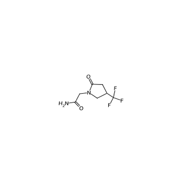 NC(=O)CN1CC(C(F)(F)F)CC1=O